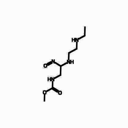 CCNCCNC(CNC(=O)OC)N=O